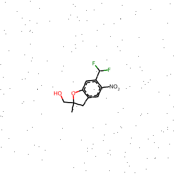 CC1(CO)Cc2cc([N+](=O)[O-])c(C(F)F)cc2O1